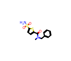 CN(Cc1ccccc1)C(=O)c1ccc(S(N)(=O)=O)s1